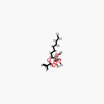 C=C(C)C(=O)OC(CCCCCCC)[Si](OC)(OC)OC